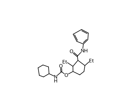 CCC1CCC(OC(=O)NC2CCCCC2)C(CC)C1C(=O)Nc1ccccc1